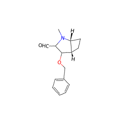 CN1C(C=O)C(OCc2ccccc2)[C@H]2CC[C@H]21